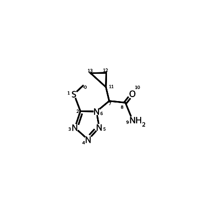 [CH2]Sc1nnnn1C(C(N)=O)C1CC1